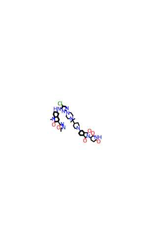 Cc1nnc(-c2cc3cc(Nc4nc(N5CCN(C(C)(C)C6CCN(c7ccc8c(c7)C(=O)N(C7CCC(=O)NC7=O)C8=O)CC6)CC5)ncc4Cl)ccc3n(C)c2=O)o1